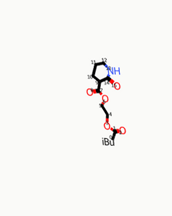 CCC(C)C(=O)OCCOC(=O)C1CCCNC1=O